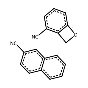 N#Cc1ccc2ccccc2c1.N#Cc1cccc2c1CO2